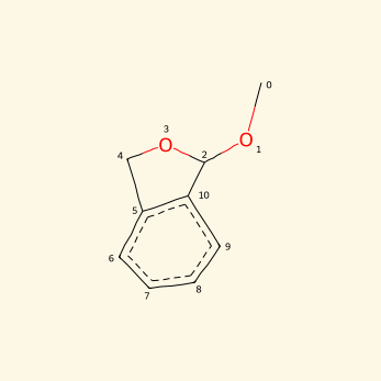 COC1OCc2ccccc21